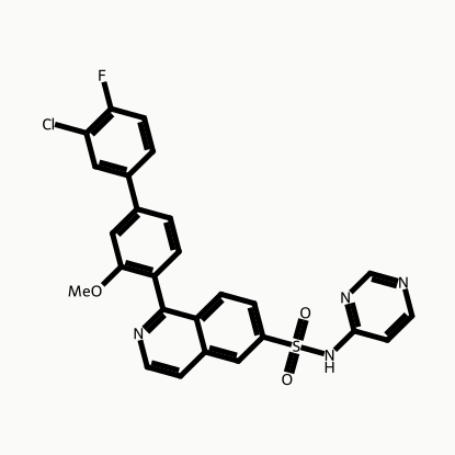 COc1cc(-c2ccc(F)c(Cl)c2)ccc1-c1nccc2cc(S(=O)(=O)Nc3ccncn3)ccc12